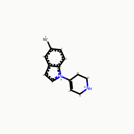 N#Cc1ccc2c(ccn2C2=CCNCC2)c1